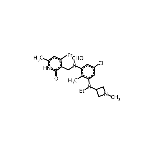 CCN(c1cc(Cl)cc(N(C=O)Cc2c(C(C)C)cc(C)[nH]c2=O)c1C)C1CN(C)C1